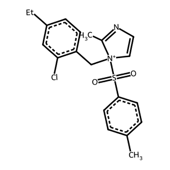 CCc1ccc(C[N+]2(S(=O)(=O)c3ccc(C)cc3)C=CN=C2C)c(Cl)c1